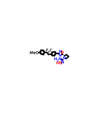 COc1ccc(CCc2ccc(-c3noc([C@@H]4CCCN4/C(N)=N/O)n3)cc2C(F)(F)F)cc1